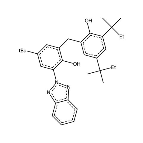 CCC(C)(C)c1cc(Cc2cc(C(C)(C)C)cc(-n3nc4ccccc4n3)c2O)c(O)c(C(C)(C)CC)c1